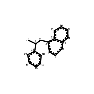 [CH2]C(Cc1cccc2ccccc12)c1ccccc1